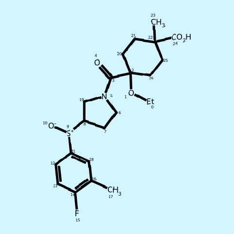 CCOC1(C(=O)N2CCC([S+]([O-])c3ccc(F)c(C)c3)C2)CCC(C)(C(=O)O)CC1